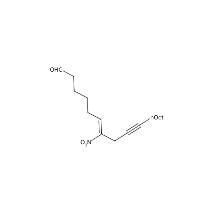 CCCCCCCCC#CCC(=CCCCCC=O)[N+](=O)[O-]